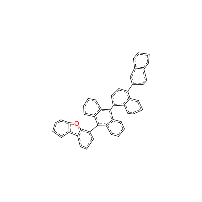 c1ccc2cc(-c3ccc(-c4c5ccccc5c(-c5cccc6c5oc5ccccc56)c5ccccc45)c4ccccc34)ccc2c1